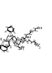 CC(C)C[C@@H](NC(=O)[C@@H](Cc1ccccc1)NC(=O)[C@H](N)Cc1ccccc1)C(=O)N[C@H](CCCCN)C(=O)NCCOCCO